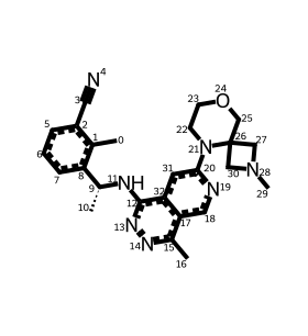 Cc1c(C#N)cccc1[C@@H](C)Nc1nnc(C)c2cnc(N3CCOCC34CN(C)C4)cc12